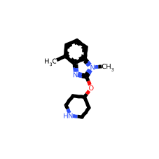 Cc1cccc2c1nc(OC1CCNCC1)n2C